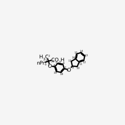 CCCC(C)(Oc1ccc(OC2Cc3ccccc3C2)cc1)C(=O)O